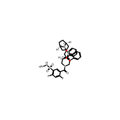 CCCNS(=O)(=O)c1cc(C(=O)N2CCC(CCN3[C@@H]4CC[C@H]3CC(n3c(C)nc5ccccc53)C4)(c3ccccc3)CC2)c(F)cc1F